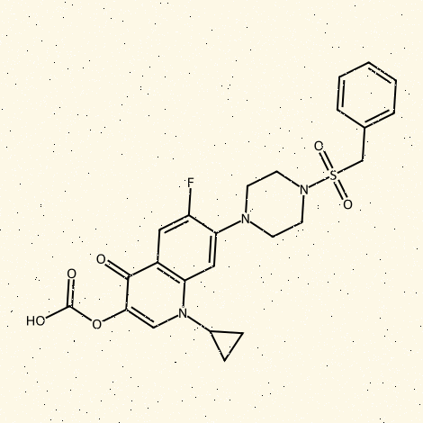 O=C(O)Oc1cn(C2CC2)c2cc(N3CCN(S(=O)(=O)Cc4ccccc4)CC3)c(F)cc2c1=O